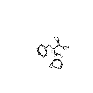 N[C@@H](Cc1ccccc1)C(=O)O.c1ccc2c(c1)C2